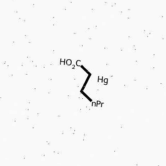 CCCCCC(=O)O.[Hg]